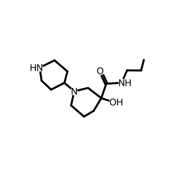 CCCNC(=O)C1(O)CCCN(C2CCNCC2)C1